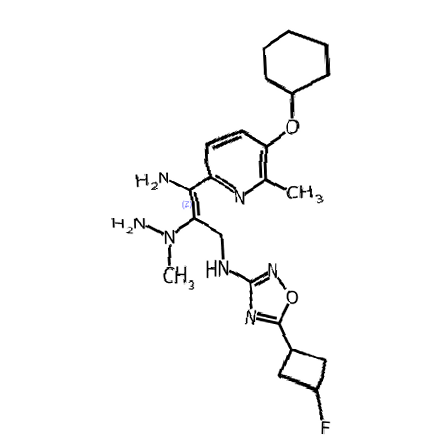 Cc1nc(/C(N)=C(\CNc2noc(C3CC(F)C3)n2)N(C)N)ccc1OC1CCCCC1